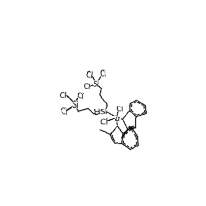 CC1=Cc2ccccc2[CH]1[Zr]([Cl])([Cl])([CH]1C(C)=Cc2ccccc21)[SiH](CCC[Si](Cl)(Cl)Cl)CCC[Si](Cl)(Cl)Cl